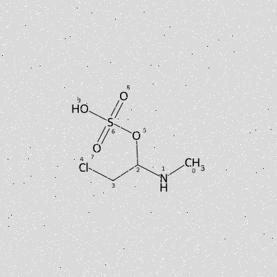 CNC(CCl)OS(=O)(=O)O